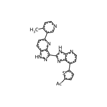 CC(=O)c1ccc(-c2ccnc3[nH]c(-c4n[nH]c5ccc(-c6cnccc6C)nc45)nc23)s1